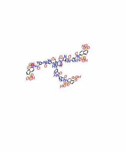 Cn1cc(NC(C=O)C(C(C=O)Nc2cc(C(=O)Nc3cc(C(=O)Nc4ccc5c(S(=O)(=O)O)cccc5c4S(=O)(=O)O)n(C)c3)n(C)c2)C(C=O)Nc2cc(C(=O)Nc3cc(C(=O)Nc4ccc5c(S(=O)(=O)O)cccc5c4S(=O)(=O)O)n(C)c3)n(C)c2)cc1C(=O)Nc1cc(C(=O)Nc2ccc3c(S(=O)(=O)O)cccc3c2S(=O)(=O)O)n(C)c1